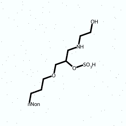 CCCCCCCCCCCCOCC(CNCCO)OS(=O)(=O)O